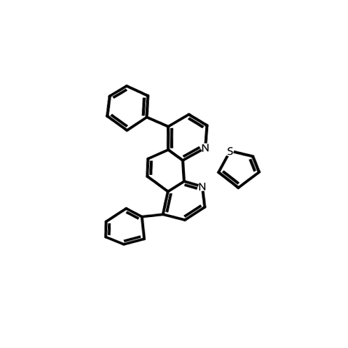 c1ccc(-c2ccnc3c2ccc2c(-c4ccccc4)ccnc23)cc1.c1ccsc1